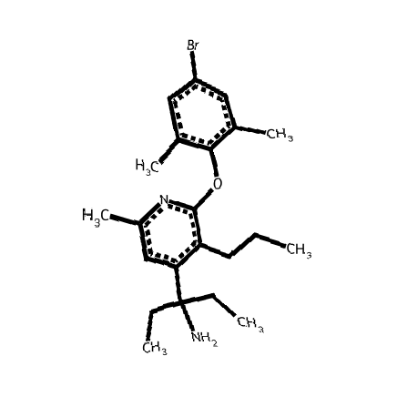 CCCc1c(C(N)(CC)CC)cc(C)nc1Oc1c(C)cc(Br)cc1C